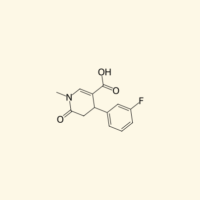 CN1C=C(C(=O)O)C(c2cccc(F)c2)CC1=O